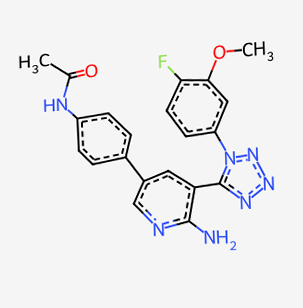 COc1cc(-n2nnnc2-c2cc(-c3ccc(NC(C)=O)cc3)cnc2N)ccc1F